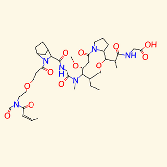 C/C=C\C(=O)N(C=O)CCOCCC(=O)N1C2CCC(C2)C1C(=O)NCC(=O)N(C)C(C(C)CC)C(CC(=O)N1CCCC1C(OC)C(C)C(=O)NCC(=O)O)OC